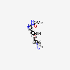 COC(=O)Nc1cc(-c2ccc(OCC(C)CC(C)N)c(C#N)c2)cnn1